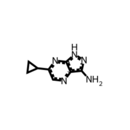 Nc1n[nH]c2nc(C3CC3)cnc12